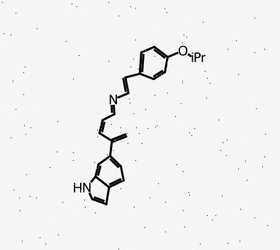 C=C(\C=C/C=N/C=C/c1ccc(OC(C)C)cc1)c1ccc2cc[nH]c2c1